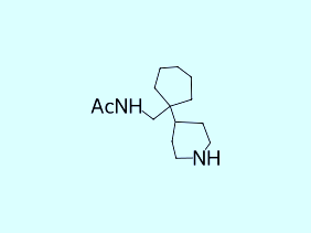 CC(=O)NCC1(C2CCNCC2)CCCCC1